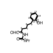 CCCC(=O)NC(C=O)CCCCc1ccccc1O